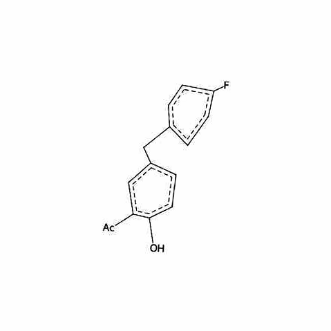 CC(=O)c1cc(Cc2ccc(F)cc2)ccc1O